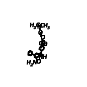 CN(C)CCOCCOCCS(=O)(=O)N1CCC(c2c[nH]c3c(C(N)=O)cc(-c4ccccc4)cc23)CC1